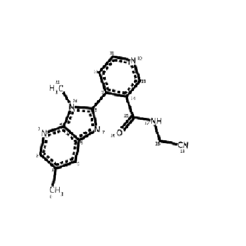 Cc1cnc2c(c1)nc(-c1ccncc1C(=O)NCC#N)n2C